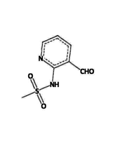 CS(=O)(=O)Nc1ncccc1C=O